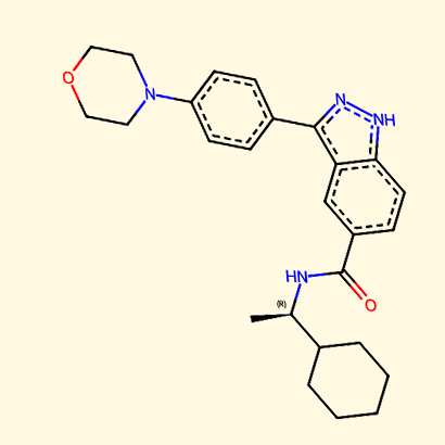 C[C@@H](NC(=O)c1ccc2[nH]nc(-c3ccc(N4CCOCC4)cc3)c2c1)C1CCCCC1